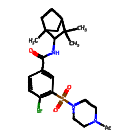 CC(=O)N1CCN(S(=O)(=O)c2cc(C(=O)NC3C4(C)CCC(C4)C3(C)C)ccc2Br)CC1